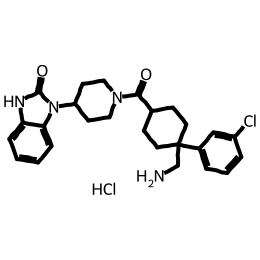 Cl.NCC1(c2cccc(Cl)c2)CCC(C(=O)N2CCC(n3c(=O)[nH]c4ccccc43)CC2)CC1